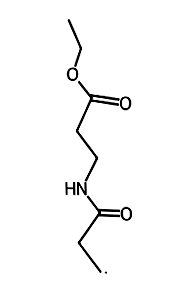 [CH2]CC(=O)NCCC(=O)OCC